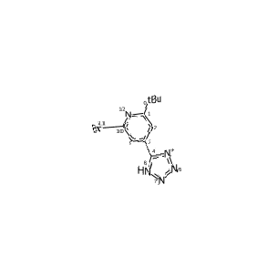 CC(C)(C)c1cc(-c2nnn[nH]2)cc(Br)n1